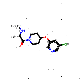 CC(C)[C@H](NC(=O)O)C(=O)N1CCC(Oc2cncc(Cl)c2)CC1